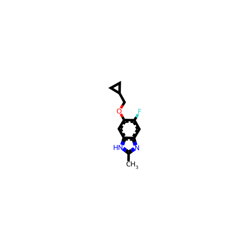 Cc1nc2cc(F)c(OCC3CC3)cc2[nH]1